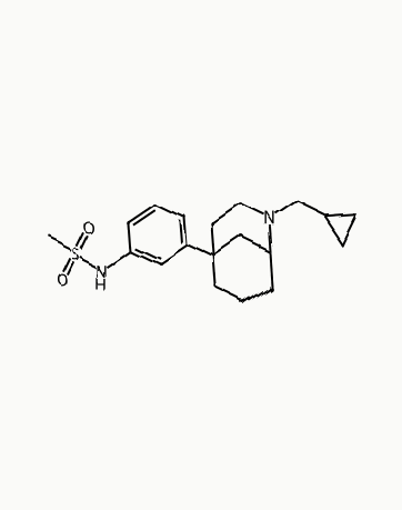 CS(=O)(=O)Nc1cccc(C23CCCC(C2)N(CC2CC2)CC3)c1